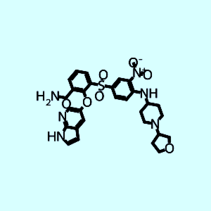 NC(=O)c1cccc(S(=O)(=O)c2ccc(NC3CCN(C4CCOC4)CC3)c([N+](=O)[O-])c2)c1Oc1cnc2[nH]ccc2c1